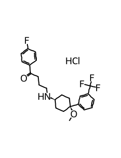 CO[C@]1(c2cccc(C(F)(F)F)c2)CC[C@H](NCCCC(=O)c2ccc(F)cc2)CC1.Cl